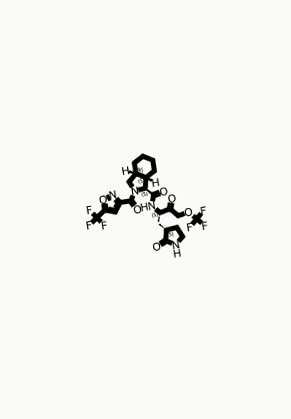 O=C1NCC[C@H]1C[C@H](NC(=O)[C@@H]1[C@H]2CCCC[C@H]2CN1C(=O)c1cc(C(F)(F)F)on1)C(=O)COC(F)(F)F